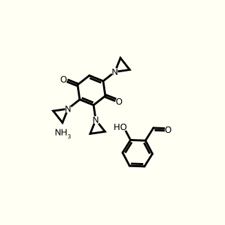 N.O=C1C=C(N2CC2)C(=O)C(N2CC2)=C1N1CC1.O=Cc1ccccc1O